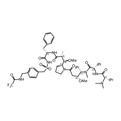 CO[C@H]([C@@H](C)C(=O)N[C@@H](Cc1ccccc1)C(=O)NS(=O)(=O)Cc1ccc(CNC(=O)C(F)(F)F)cc1)[C@@H]1CCCN1C(=O)C[C@@H](OC)[C@H](C(C)C)N(C)C(=O)[C@@H](NC(=O)[C@H](C(C)C)N(C)C)C(C)C